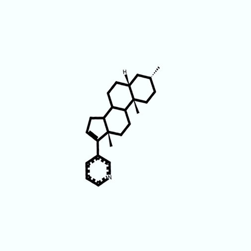 C[C@@H]1CC[C@]2(C)C3CC[C@]4(C)C(c5cccnc5)=CCC4C3CC[C@@H]2C1